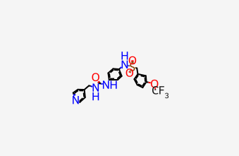 O=C(NCc1ccncc1)Nc1ccc(NS(=O)(=O)Cc2cccc(OC(F)(F)F)c2)cc1